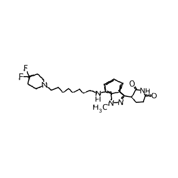 Cn1nc(C2CCC(=O)NC2=O)c2cccc(NCCCCCCCCN3CCC(F)(F)CC3)c21